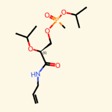 C=CCNC(=O)[C@H](COP(C)(=O)OC(C)C)OC(C)C